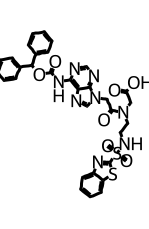 O=C(O)CN(CCNS(=O)(=O)c1nc2ccccc2s1)C(=O)Cn1cnc2c(NC(=O)OC(c3ccccc3)c3ccccc3)ncnc21